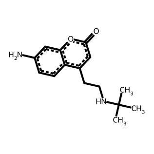 CC(C)(C)NCCc1cc(=O)oc2cc(N)ccc12